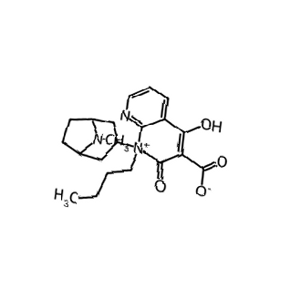 CCCC[N+]1(C2CC3CCC(C2)N3C)C(=O)C(C(=O)[O-])=C(O)c2cccnc21